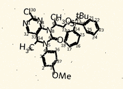 COc1ccc(N2C(=O)N(C(C)CO[Si](c3ccccc3)(c3ccccc3)C(C)(C)C)c3nc(Cl)ncc3C2C)cc1